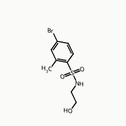 Cc1cc(Br)ccc1S(=O)(=O)NCCO